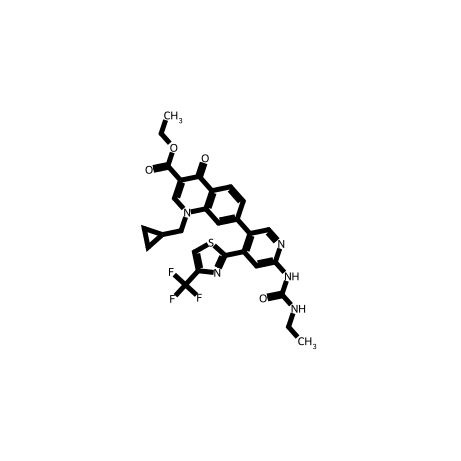 CCNC(=O)Nc1cc(-c2nc(C(F)(F)F)cs2)c(-c2ccc3c(=O)c(C(=O)OCC)cn(CC4CC4)c3c2)cn1